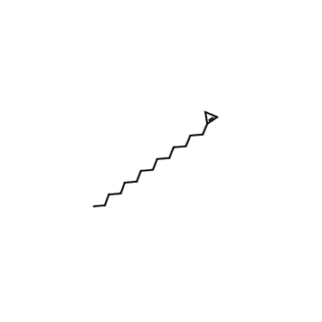 CCCCCCCCCCCCCCC1=CC1